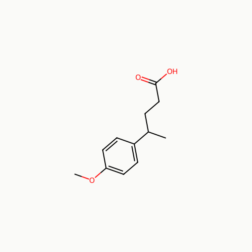 COc1ccc(C(C)CCC(=O)O)cc1